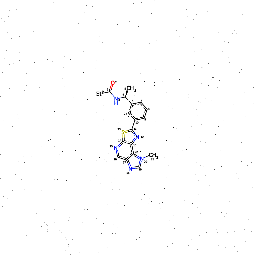 CCC(=O)N[C@@H](C)c1cccc(-c2nc3c(ncc4ncn(C)c43)s2)c1